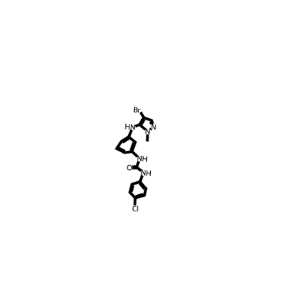 Cn1ncc(Br)c1Nc1cccc(NC(=O)Nc2ccc(Cl)cc2)c1